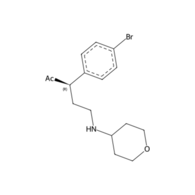 CC(=O)[C@H](CCNC1CCOCC1)c1ccc(Br)cc1